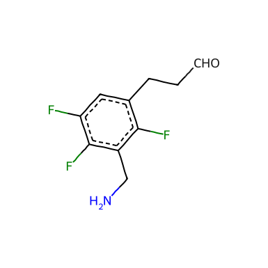 NCc1c(F)c(F)cc(CCC=O)c1F